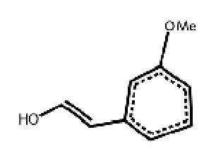 COc1cccc(C=CO)c1